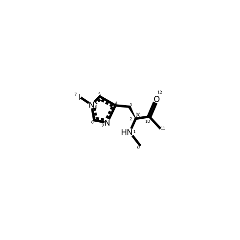 CN[C@@H](Cc1cn(I)cn1)C(C)=O